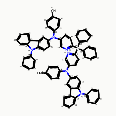 [C-]#[N+]c1ccc(N(c2ccc([Si](c3ccccc3)(c3ccccc3)c3ccc(N(c4ccc(C#N)cc4)c4ccc5c(c4)c4ccccc4n5-c4ccccc4)cn3)nc2)c2ccc3c(c2)c2ccccc2n3-c2ccccc2)cc1